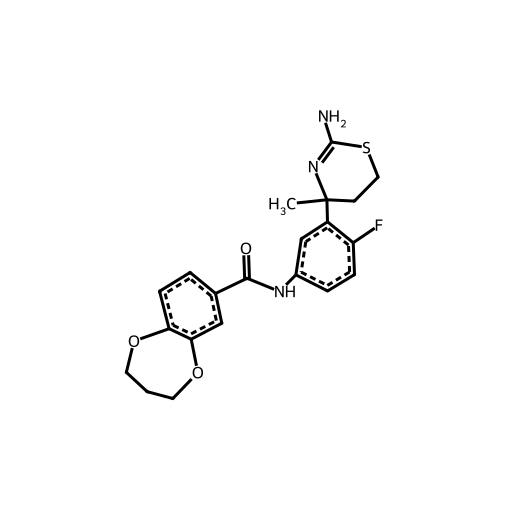 CC1(c2cc(NC(=O)c3ccc4c(c3)OCCCO4)ccc2F)CCSC(N)=N1